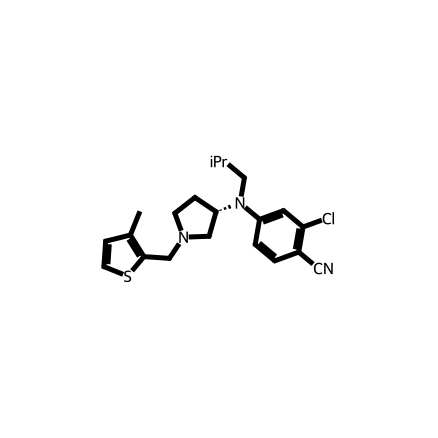 Cc1ccsc1CN1CC[C@H](N(CC(C)C)c2ccc(C#N)c(Cl)c2)C1